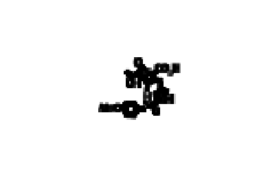 COc1ccc(CNC(=O)C2CC(SC3=C(C(=O)O)N4C(=O)C(C(C)O)C4C3C)CN2)cc1